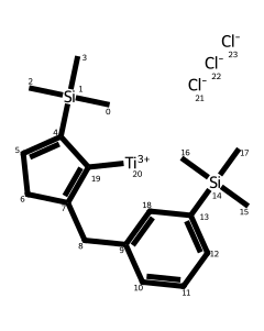 C[Si](C)(C)C1=CCC(Cc2cccc([Si](C)(C)C)c2)=[C]1[Ti+3].[Cl-].[Cl-].[Cl-]